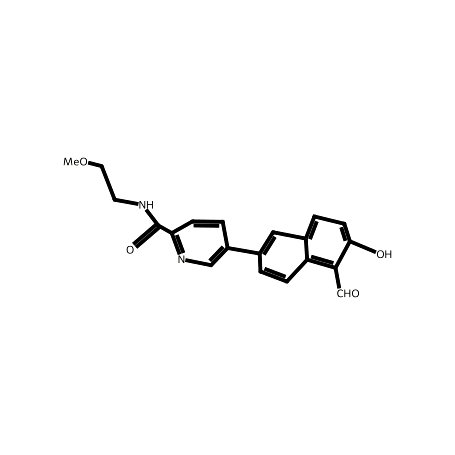 COCCNC(=O)c1ccc(-c2ccc3c(C=O)c(O)ccc3c2)cn1